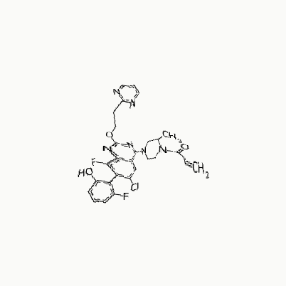 C=CC(=O)N1CCN(c2nc(OCCc3ncccn3)nc3c(F)c(-c4c(O)cccc4F)c(Cl)cc23)CC1C